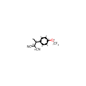 CC(c1ccc(OC(F)(F)F)cc1)C(C#N)C#N